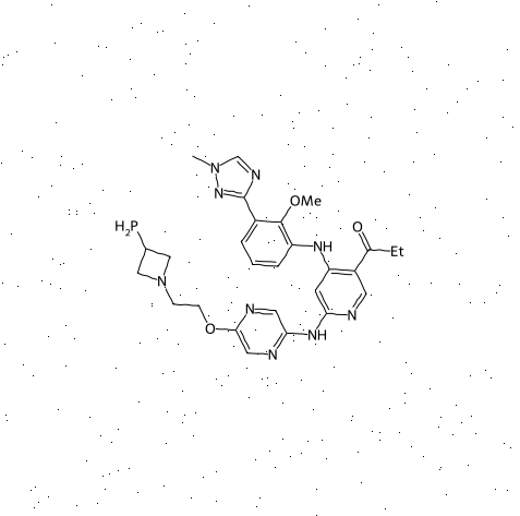 CCC(=O)c1cnc(Nc2cnc(OCCN3CC(P)C3)cn2)cc1Nc1cccc(-c2ncn(C)n2)c1OC